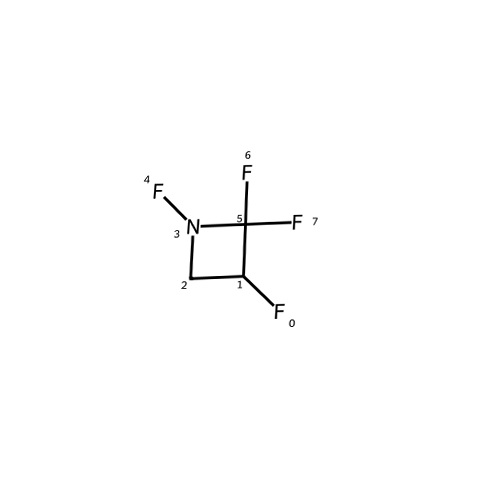 FC1CN(F)C1(F)F